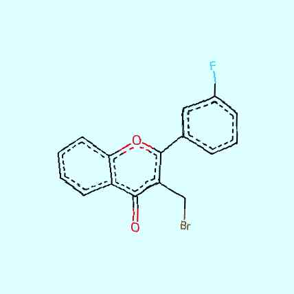 O=c1c(CBr)c(-c2cccc(F)c2)oc2ccccc12